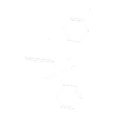 [N-]=[N+]=C(S(=O)(=O)c1ccccc1)S(=O)(=O)c1ccc(Cl)cc1